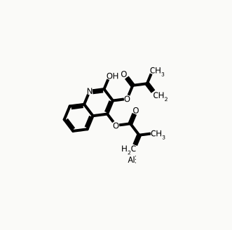 C=C(C)C(=O)Oc1c(O)nc2ccccc2c1OC(=O)C(=C)C.[Al]